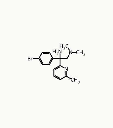 Cc1cccc(C(N)(CN(C)C)c2ccc(Br)cc2)n1